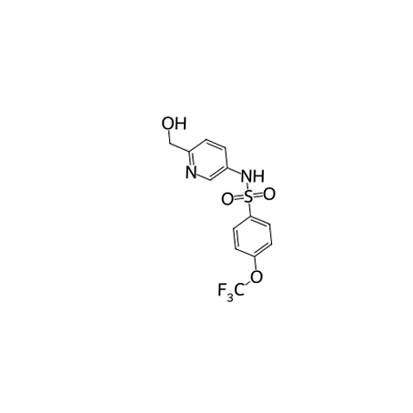 O=S(=O)(Nc1ccc(CO)nc1)c1ccc(OC(F)(F)F)cc1